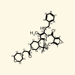 Cc1cocc1C(=O)n1nc(C2CCN(C(=O)CN3CCOCC3)CC2C(F)(F)F)c(C)c1NCc1ccccc1